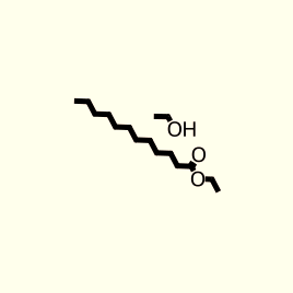 CCCCCCCCCCCC(=O)OCC.CCO